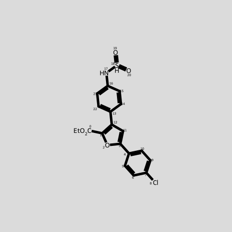 CCOC(=O)c1oc(-c2ccc(Cl)cc2)cc1-c1ccc(N[SH](=O)=O)cc1